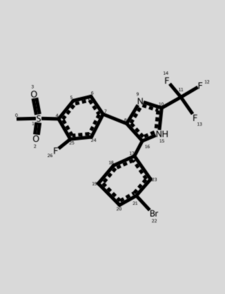 CS(=O)(=O)c1ccc(-c2nc(C(F)(F)F)[nH]c2-c2cccc(Br)c2)cc1F